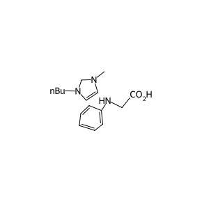 CCCCN1C=CN(C)C1.O=C(O)CNc1ccccc1